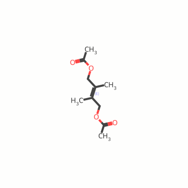 CC(=O)OC/C(C)=C(\C)COC(C)=O